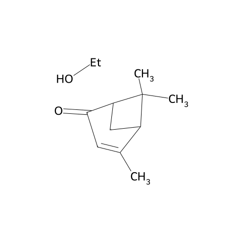 CC1=CC(=O)C2CC1C2(C)C.CCO